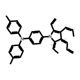 C=C/C=c1/c(/C=C\C)c(C=C)n(-c2ccc(N(c3ccc(C)cc3)c3ccc(C)cc3)cc2)/c1=C/C